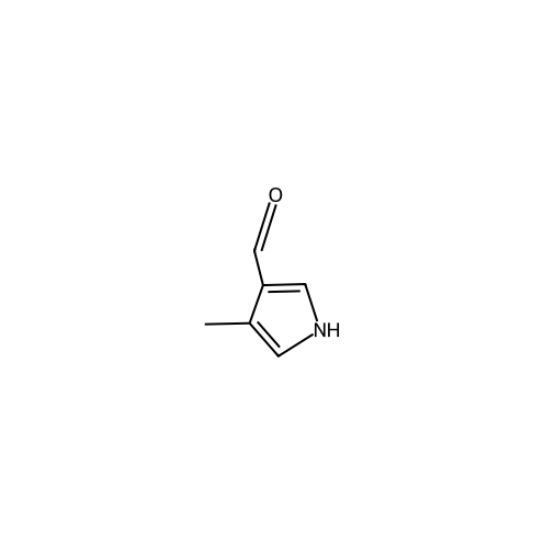 Cc1c[nH]cc1C=O